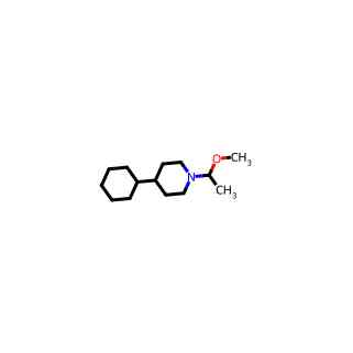 COC(C)N1CCC(C2CCCCC2)CC1